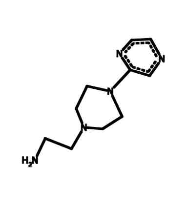 NCCN1CCN(c2cnccn2)CC1